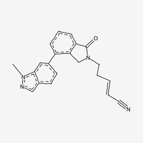 Cn1ncc2ccc(-c3cccc4c3CN(CCC=CC#N)C4=O)cc21